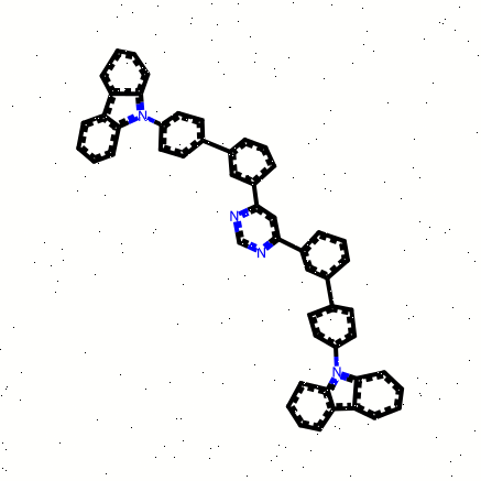 c1cc(-c2ccc(-n3c4ccccc4c4ccccc43)cc2)cc(-c2cc(-c3cccc(-c4ccc(-n5c6ccccc6c6ccccc65)cc4)c3)ncn2)c1